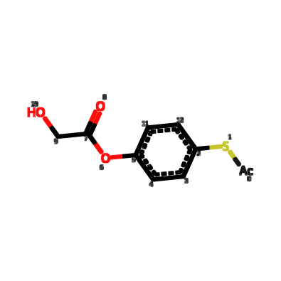 CC(=O)Sc1ccc(OC(=O)CO)cc1